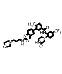 Cc1ccc(C(=O)Nc2cc(C(F)(F)F)ccc2N2CCNC(=O)C2)cc1-c1ccc2nc(NCCCN3CCOCC3)ncc2c1